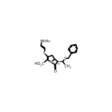 CC(=O)NC=CSC1=C(C(=O)O)N2C(=O)[C@H](C(C)SCc3ccccc3)C2C1